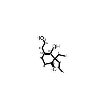 CCCC1(CC)C(=O)CCC(CCO)=C1O